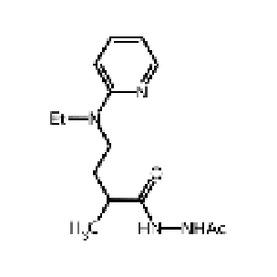 CCN(CCC(C)C(=O)NNC(C)=O)c1ccccn1